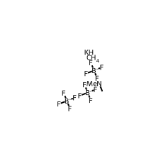 C.CNC.F[B-](F)(F)F.F[B-](F)(F)F.F[B-](F)(F)F.[KH]